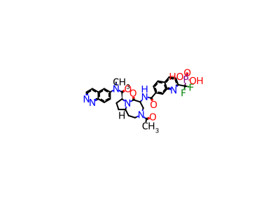 CC(=O)N1CC[C@H]2CC[C@@H](C(=O)N(C)c3ccc4nnccc4c3)N2C(=O)C(NC(=O)c2ccc3ccc(C(F)(F)P(=O)(O)O)nc3c2)C1